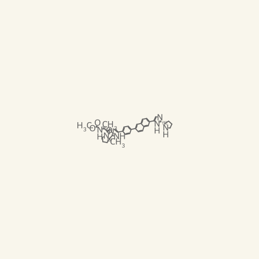 COC(=O)N[C@@H](C)C(=O)N1CCC[C@@]1(C)c1ncc(-c2ccc(-c3ccc4cc(-c5cnc([C@@H]6CCCN6)[nH]5)ccc4c3)cc2)[nH]1